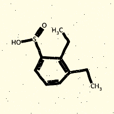 CCc1cccc(S(=O)O)c1CC